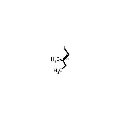 CC/C(C)=C/I